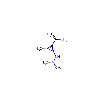 C=C(C)C1=C(C)N1NN(C)C